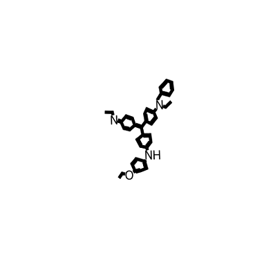 CCN=C1C=CC(=C(c2ccc(Nc3ccc(OCC)cc3)cc2)c2ccc(N(CC)Cc3ccccc3)cc2)C=C1